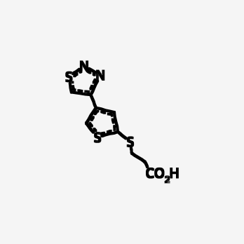 O=C(O)CCSc1cc(-c2csnn2)cs1